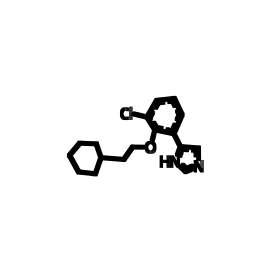 Clc1cccc(-c2cnc[nH]2)c1OCCC1CCCCC1